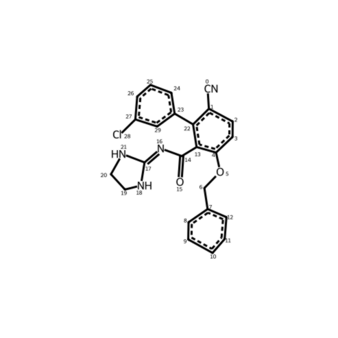 N#Cc1ccc(OCc2ccccc2)c(C(=O)N=C2NCCN2)c1-c1cccc(Cl)c1